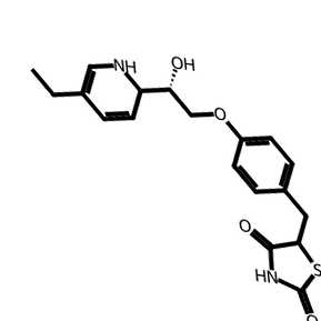 CCC1=CNC([C@H](O)COc2ccc(CC3SC(=O)NC3=O)cc2)C=C1